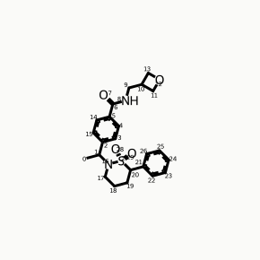 CC(c1ccc(C(=O)NCC2COC2)cc1)N1CCCC(c2ccccc2)S1(=O)=O